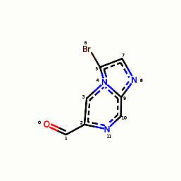 O=Cc1cn2c(Br)cnc2cn1